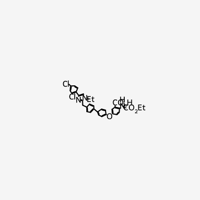 CCOC(=O)Nc1ccc(Oc2ccc(-c3ccc(Cc4nc(-c5ccc(Cl)cc5Cl)cn4CC)cc3)cc2)cc1C(=O)O